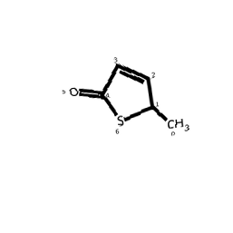 CC1C=CC(=O)S1